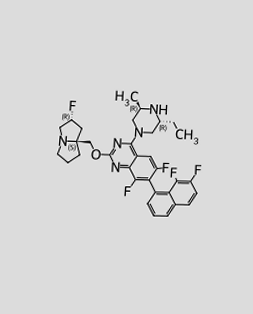 CC[C@@H]1CN(c2nc(OC[C@@]34CCCN3C[C@H](F)C4)nc3c(F)c(-c4cccc5ccc(F)c(F)c45)c(F)cc23)C[C@@H](C)N1